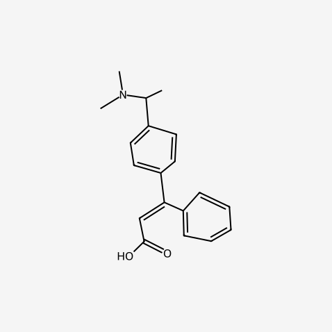 CC(c1ccc(C(=CC(=O)O)c2ccccc2)cc1)N(C)C